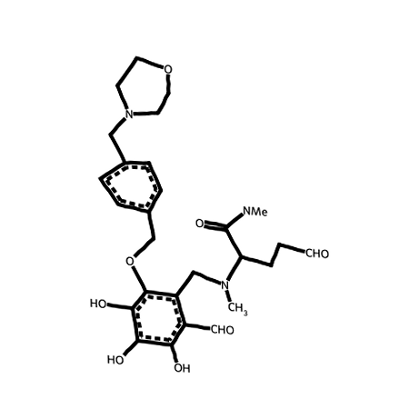 CNC(=O)C(CCC=O)N(C)Cc1c(C=O)c(O)c(O)c(O)c1OCc1ccc(CN2CCOCC2)cc1